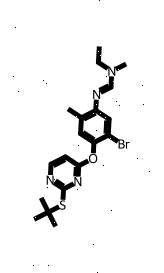 CCN(C)/C=N/c1cc(Br)c(Oc2ccnc(SC(C)(C)C)n2)cc1C